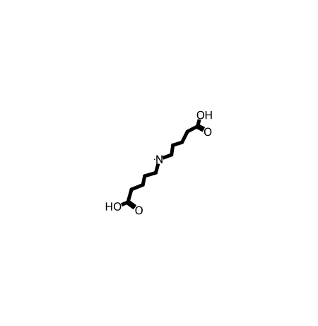 O=C(O)CCCC[N]CCCCC(=O)O